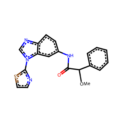 COC(C(=O)Nc1ccc2ncn(-c3nccs3)c2c1)c1ccccc1